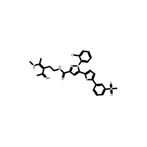 CN/C(C)=C(/CCNC(=O)c1cc(-c2ccc(-c3cccc(S(C)(=O)=O)c3)s2)n(-c2ccccc2Cl)n1)C(C)=N